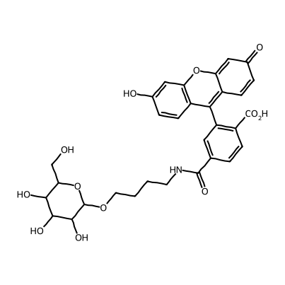 O=C(NCCCCOC1OC(CO)C(O)C(O)C1O)c1ccc(C(=O)O)c(-c2c3ccc(=O)cc-3oc3cc(O)ccc23)c1